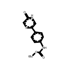 CC(C)(C)OC(=O)Nc1ccc(-c2c[nH]c(=O)cn2)cc1